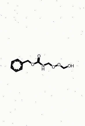 O=C(NCOOCO)OCc1ccccc1